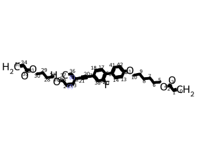 C=CC(=O)OCCCCCCOc1ccc(-c2ccc(C#CC(/C=C\COCCCCOC(=O)C=C)=C/C)cc2F)cc1